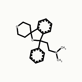 CN(C)CCC1(c2ccccc2)OC2(CCOCC2)c2ccccc21